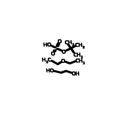 CC(C)(C)OS(=O)(=O)O.CCOCC.OCCO